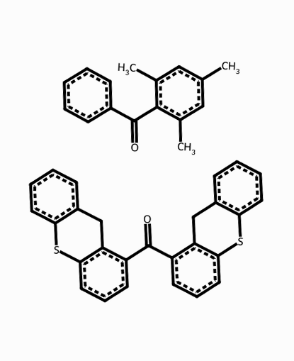 Cc1cc(C)c(C(=O)c2ccccc2)c(C)c1.O=C(c1cccc2c1Cc1ccccc1S2)c1cccc2c1Cc1ccccc1S2